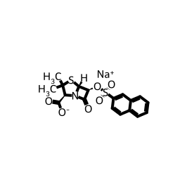 CC1(C)S[C@@H]2[C@H](OS(=O)(=O)c3ccc4ccccc4c3)C(=O)N2[C@H]1C(=O)[O-].[Na+]